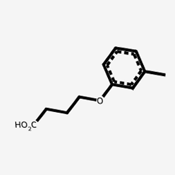 Cc1[c]c(OCCCC(=O)O)ccc1